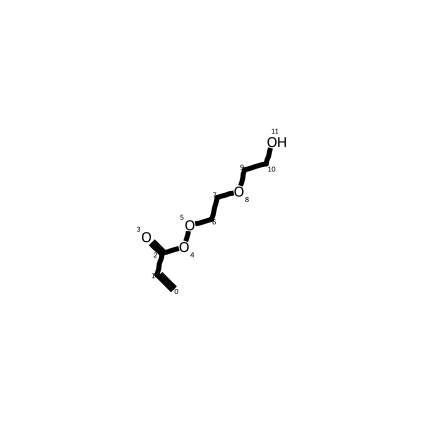 C=CC(=O)OOCCOCCO